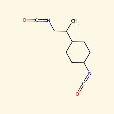 CC(CN=C=O)C1CCC(N=C=O)CC1